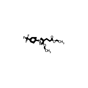 CCOC(=O)CCc1cn(-c2ccc(C(F)(F)F)cc2)nc1OCC